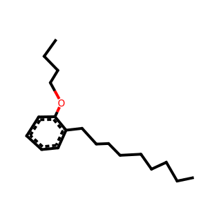 CCCCCCCCCc1ccccc1OCCCC